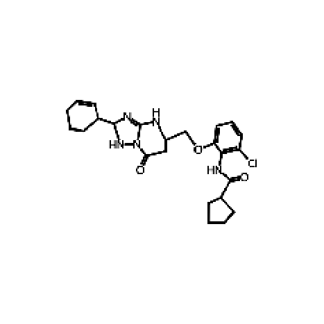 O=C(Nc1c(Cl)cccc1OCC1CC(=O)N2NC(C3C=CCCC3)N=C2N1)C1CCCC1